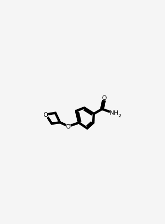 NC(=O)c1ccc(OC2COC2)cc1